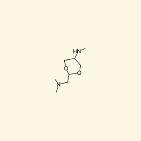 CNC1COC(CN(C)C)OC1